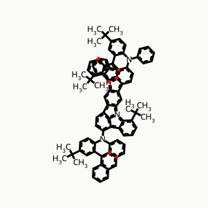 CC(C)(C)c1ccc(N(c2ccccc2)c2ccc3c4cc5c(cc4n4c6c(C(C)(C)C)cccc6c2c34)c2ccc(N(c3ccccc3)c3ccc(C(C)(C)C)cc3-c3cccc4ccccc34)c3c4cccc(C(C)(C)C)c4n5c23)c(-c2cccc3ccccc23)c1